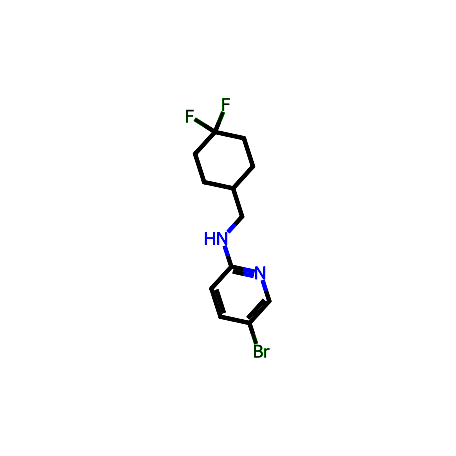 FC1(F)CCC(CNc2ccc(Br)cn2)CC1